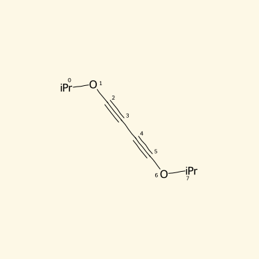 CC(C)OC#CC#COC(C)C